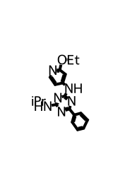 CCOc1cc(Nc2nc(NC(C)C)nc(-c3ccccc3)n2)ccn1